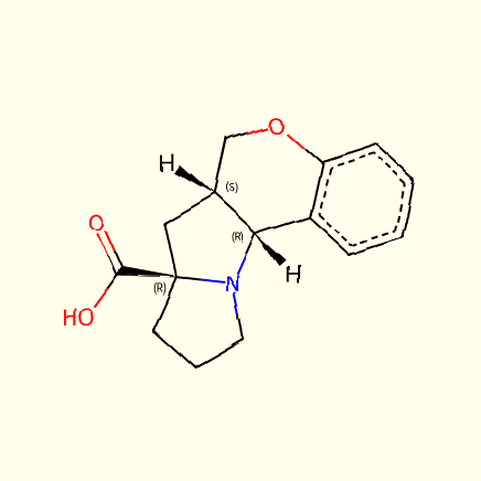 O=C(O)[C@]12CCCN1[C@H]1c3ccccc3OC[C@H]1C2